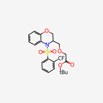 CC(C)(C)OC(=O)COCC1COc2ccccc2N1S(=O)(=O)c1ccccc1C(F)(F)F